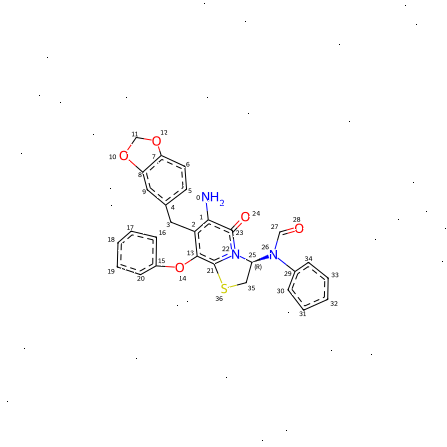 Nc1c(Cc2ccc3c(c2)OCO3)c(Oc2ccccc2)c2n(c1=O)[C@@H](N(C=O)c1ccccc1)CS2